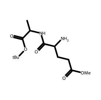 COC(=O)CCC(N)C(=O)NC(C)C(=O)OC(C)(C)C